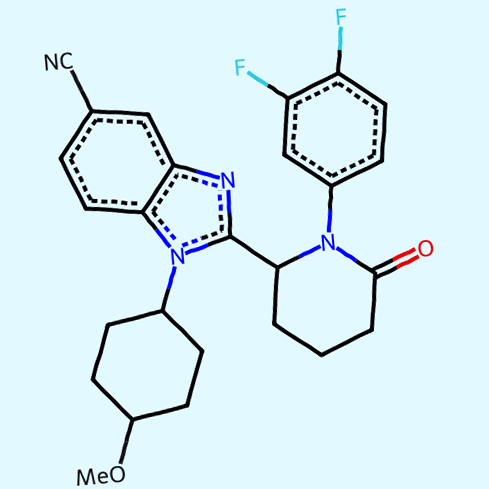 COC1CCC(n2c(C3CCCC(=O)N3c3ccc(F)c(F)c3)nc3cc(C#N)ccc32)CC1